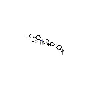 CCCc1cccc(/C=N/NC(=O)CN2CCN(Cc3ccc(C(F)(F)F)cc3)CC2)c1O